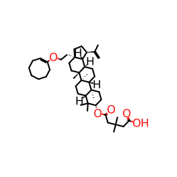 C=C(C)[C@@H]1CC[C@]2(CCO/C3=C/CCCCCC3)CC[C@]3(C)[C@H](CC[C@@H]4[C@@]5(C)CC[C@H](OC(=O)CC(C)(C)CC(=O)O)C(C)(C)[C@@H]5CC[C@]43C)[C@@H]12